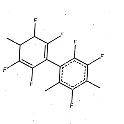 Cc1c(F)c(C)c(C2=C(F)C(F)C(C)C(F)=C2F)c(F)c1F